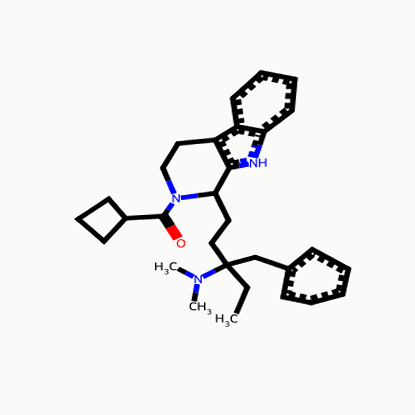 CCC(CCC1c2[nH]c3ccccc3c2CCN1C(=O)C1CCC1)(Cc1ccccc1)N(C)C